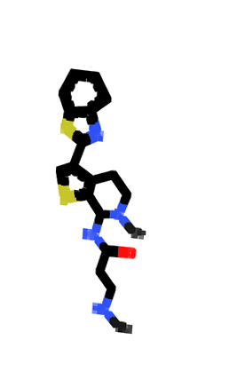 CCC(C)NCCC(=O)NC1c2scc(-c3nc4ccccc4s3)c2CCN1C(C)C